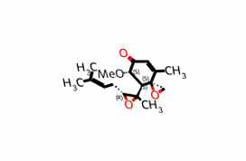 CO[C@@H]1C(=O)C=C(C)[C@]2(CO2)[C@H]1C1(C)O[C@@H]1CC=C(C)C